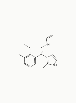 C=CN/C=C(\c1cc[nH]c1C)c1cccc(C)c1CC